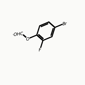 O=[C]Oc1ccc(Br)cc1F